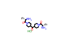 CC(C)[C@H](N)C(=O)N1CCC(C(=O)C2CCN(C(=O)[C@@H](N)C(C)C)CC2)CC1.Cl